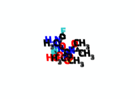 COCCN(CC1CC1C)c1cc(-c2nnc([C@](C)(N)Cc3ccc(F)cc3)o2)cc(N(C)S(C)(=O)=O)n1.O=C(O)C(F)(F)F